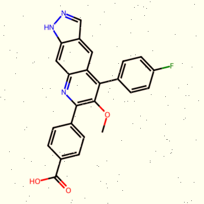 COc1c(-c2ccc(C(=O)O)cc2)nc2cc3[nH]ncc3cc2c1-c1ccc(F)cc1